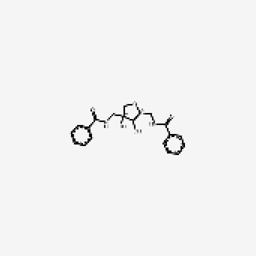 O=C(NC[C@@H]1OC[C@@](O)(CNC(=O)c2ccccc2)C1O)c1ccccc1